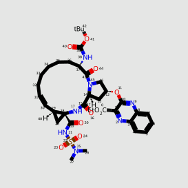 CCOC(=O)c1nc2ccccc2nc1O[C@@H]1C[C@H]2C(=O)N[C@]3(C(=O)NS(=O)(=O)N(C)C)C[C@H]3/C=C\CCCCC[C@H](NC(=O)OC(C)(C)C)C(=O)N2C1